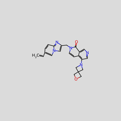 C=Cc1ccc2nc(Cn3ccc4c(N5CC6(COC6)C5)cncc4c3=O)cn2c1